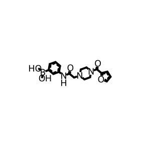 O=C(CN1CCN(C(=O)c2ccco2)CC1)Nc1cccc(B(O)O)c1